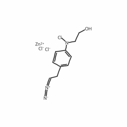 [Cl-].[Cl-].[N-]=[N+]=CCc1ccc(N(Cl)CCO)cc1.[Zn+2]